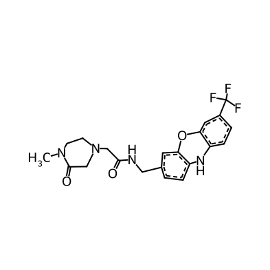 CN1CCN(CC(=O)NCc2ccc3c(c2)Oc2cc(C(F)(F)F)ccc2N3)CC1=O